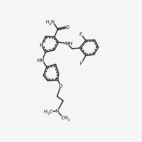 CN(C)CCOc1ccc(Nc2cc(NCc3c(F)cccc3F)c(C(N)=O)cn2)cc1